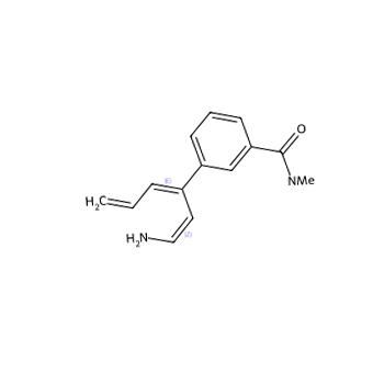 C=C/C=C(\C=C/N)c1cccc(C(=O)NC)c1